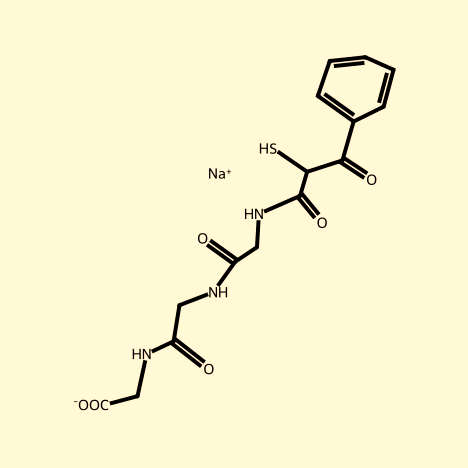 O=C([O-])CNC(=O)CNC(=O)CNC(=O)C(S)C(=O)c1ccccc1.[Na+]